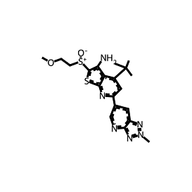 COCC[S+]([O-])c1sc2nc(-c3cnc4nn(C)nc4c3)cc(C(C)(C)C)c2c1N